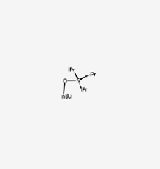 CCCCO[Si](C(C)C)(C(C)C)C(C)C